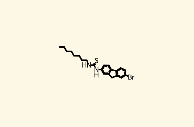 CCCCCCCCNC(=S)Nc1ccc2c(c1)Cc1cc(Br)ccc1-2